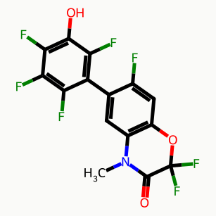 CN1C(=O)C(F)(F)Oc2cc(F)c(-c3c(F)c(O)c(F)c(F)c3F)cc21